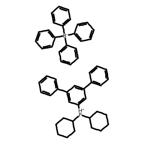 c1ccc(-c2cc(-c3ccccc3)cc([PH+](C3CCCCC3)C3CCCCC3)c2)cc1.c1ccc([B-](c2ccccc2)(c2ccccc2)c2ccccc2)cc1